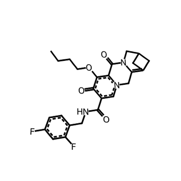 CCCCOc1c2n(cc(C(=O)NCc3ccc(F)cc3F)c1=O)CC1=C3CC(C3)CN1C2=O